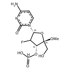 CO[C@]1(CO)O[C@@H](n2ccc(N)nc2=O)C(F)[C@H]1O[PH](=O)O